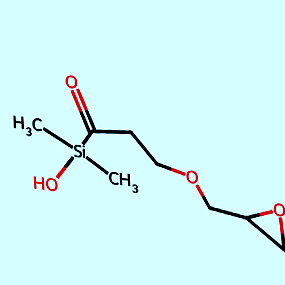 C[Si](C)(O)C(=O)CCOCC1CO1